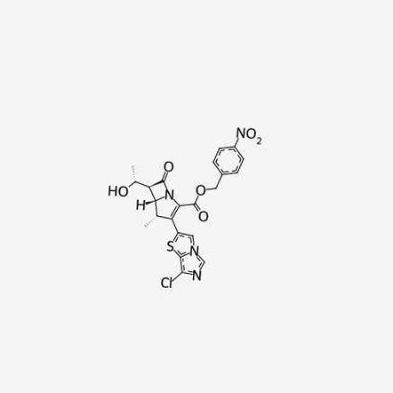 C[C@@H](O)[C@H]1C(=O)N2C(C(=O)OCc3ccc([N+](=O)[O-])cc3)=C(c3cn4cnc(Cl)c4s3)[C@H](C)[C@H]12